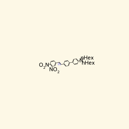 CCCCCCN(CCCCCC)c1ccc(-c2ccc(/C=C/c3ccc([N+](=O)[O-])c([N+](=O)[O-])c3)cc2)cc1